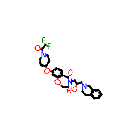 O=C1c2ccc(OC3CCN(C(=O)C(F)F)CC3)cc2OCCN1C[C@H](O)CN1CCc2ccccc2C1